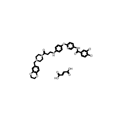 O=C(Nc1ccc(Oc2ccc(NCCC(=O)N3CCN(Cc4ccc5c(c4)OCCO5)CC3)cc2)nc1)c1ccc(Cl)c(Cl)c1.O=C(O)C=CC(=O)O